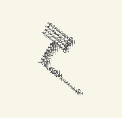 CC(O)CO.CC(O)CO.CC(O)CO.CC(O)CO.CC(O)CO.CC(O)CO.CC(O)CO.CC(O)CO.CC(O)CO.CC(O)CO.CCCCCCCCCCCCCCCCCC(=O)O.CCCCCCCCCCCCCCCCCC(=O)O.CCCCCCCCCCCCCCCCCC(=O)O.CCCCCCCCCCCCCCCCCC(=O)O.CCCCCCCCCCCCCCCCCC(=O)O